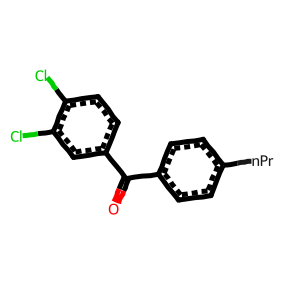 CCCc1ccc(C(=O)c2ccc(Cl)c(Cl)c2)cc1